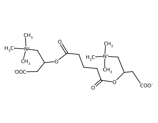 C[N+](C)(C)CC(CC(=O)[O-])OC(=O)CCCC(=O)OC(CC(=O)[O-])C[N+](C)(C)C